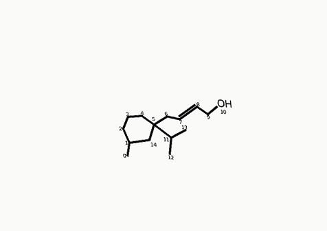 CC1CCCC(CC=CCO)(C(C)C)C1